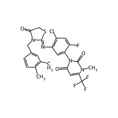 Cc1ccc(CN2C(=O)CSC2=Nc2cc(-n3c(=O)cc(C(F)(F)F)n(C)c3=O)c(F)cc2Cl)cc1C